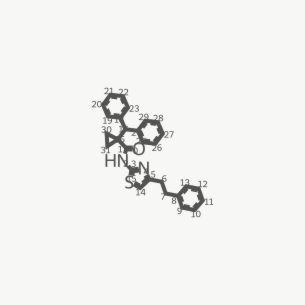 O=C(Nc1nc(CCc2ccccc2)cs1)C1(C(c2ccccc2)c2ccccc2)CC1